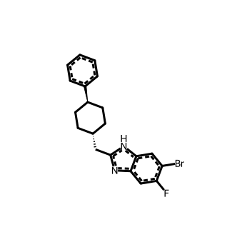 Fc1cc2nc(C[C@H]3CC[C@H](c4ccccc4)CC3)[nH]c2cc1Br